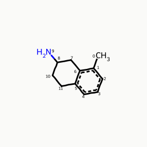 Cc1cccc2c1CC(N)CC2